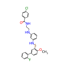 COc1ccc(-c2ccccc2F)cc1SNc1cccc(NCCNC(=O)c2ccc(Cl)cc2)c1